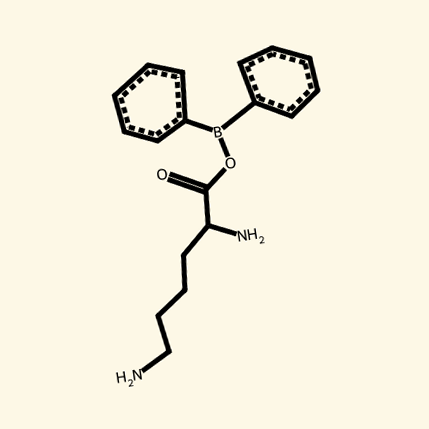 NCCCCC(N)C(=O)OB(c1ccccc1)c1ccccc1